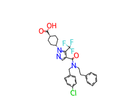 O=C(c1cnn([C@H]2CC[C@H](C(=O)O)CC2)c1C(F)(F)F)N(CCc1ccccc1)Cc1ccc(Cl)cc1